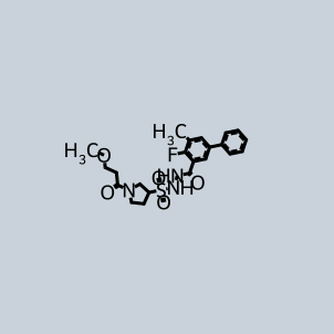 COCCC(=O)N1CCC(S(=O)(=O)NNC(=O)c2cc(-c3ccccc3)cc(C)c2F)C1